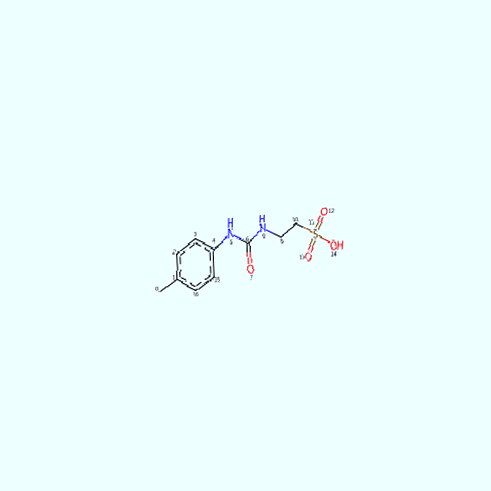 Cc1ccc(NC(=O)NCCS(=O)(=O)O)cc1